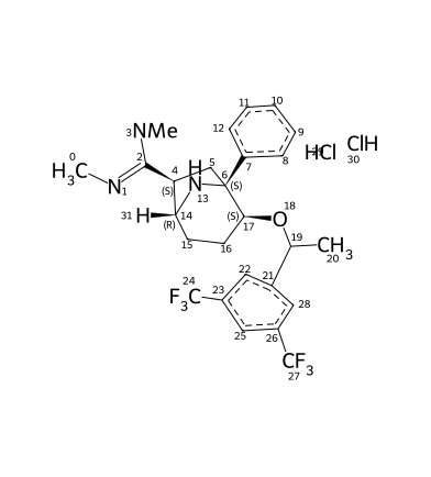 CN=C(NC)[C@H]1C[C@@]2(c3ccccc3)N[C@@H]1CC[C@@H]2OC(C)c1cc(C(F)(F)F)cc(C(F)(F)F)c1.Cl.Cl